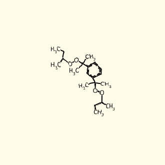 CCC(C)OOC(C)(C)c1cccc(C(C)(C)OOC(C)CC)c1